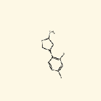 Cc1ccc(N2CCC(N)C2)c(F)c1